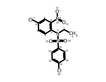 CCN(c1ccc(Cl)cc1[N+](=O)[O-])S(=O)(=O)c1ccc(Cl)cc1